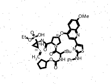 C=C[C@@H]1C[C@]1(NC(=O)C1C[C@@H](Oc2cc(-c3csc(NC(C)C)n3)nc3cc(OC)ccc23)CN1C(=O)C(NC(=O)OC1CCCC1)C(C)(C)C)P(=O)(O)OCC